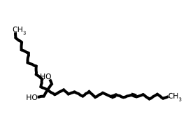 CCCCCC=CCC=CCCCCCCCCC(CO)(CO)CCCCCCCCCC